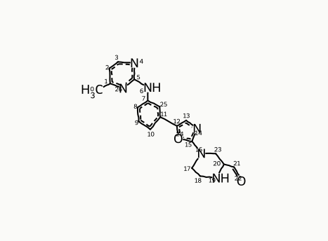 Cc1ccnc(Nc2cccc(-c3cnc(N4CCNC(C=O)C4)o3)c2)n1